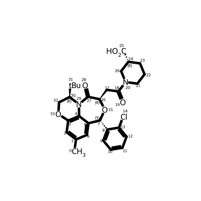 Cc1cc2c3c(c1)[C@@H](c1ccccc1Cl)O[C@H](CC(=O)N1CCC[C@@H](C(=O)O)C1)C(=O)N3[C@H](C(C)(C)C)CO2